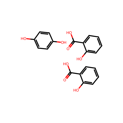 O=C(O)c1ccccc1O.O=C(O)c1ccccc1O.Oc1ccc(O)cc1